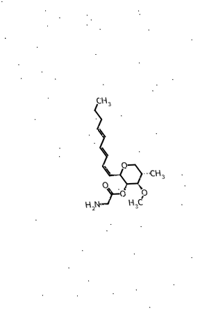 CCC/C=C/C=C/C=C\[C@H]1OC[C@H](C)[C@@H](OC)[C@H]1OC(=O)CN